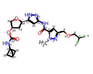 Cn1nc(COCC(F)F)cc1C(=O)Nc1cc([C@H]2C[C@@H](OC(=O)NC34CC(C3)C4)CO2)[nH]n1